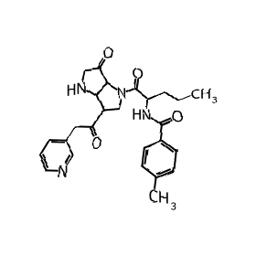 CCCC(NC(=O)c1ccc(C)cc1)C(=O)N1CC(C(=O)Cc2cccnc2)C2NCC(=O)C21